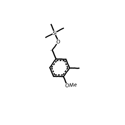 COc1ccc([CH]O[Si](C)(C)C)cc1C